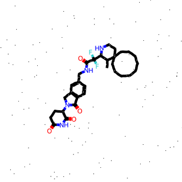 CC1C(C(F)(F)C(=O)NCc2ccc3c(c2)CN(C2CCC(=O)NC2=O)C3=O)NCCC12CCCCCCCCC2